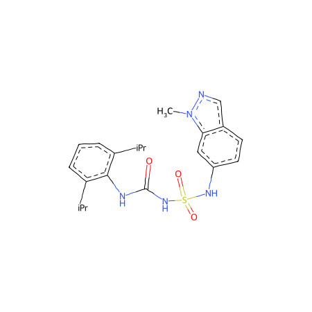 CC(C)c1cccc(C(C)C)c1NC(=O)NS(=O)(=O)Nc1ccc2cnn(C)c2c1